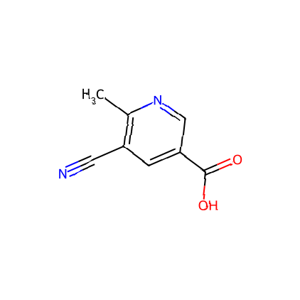 Cc1ncc(C(=O)O)cc1C#N